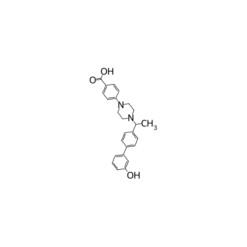 CC(c1ccc(-c2cccc(O)c2)cc1)N1CCN(c2ccc(C(=O)O)cc2)CC1